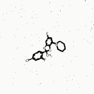 CC1(c2ccc(Cl)cc2F)Oc2cc(F)cc(N3CCCCC3)c2O1